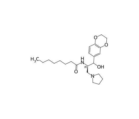 CCCCCCCC(=O)N[C@H](CN1CCCC1)C(O)c1ccc2c(c1)OCCO2